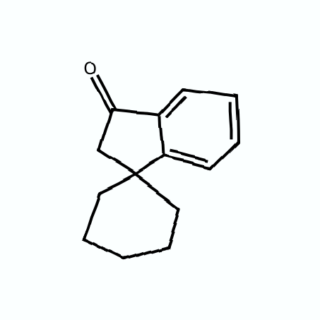 O=C1CC2(CCCCC2)c2ccccc21